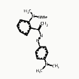 C=C(N=Nc1ccc(N(C)C)cc1)c1ccccc1N(C)NC